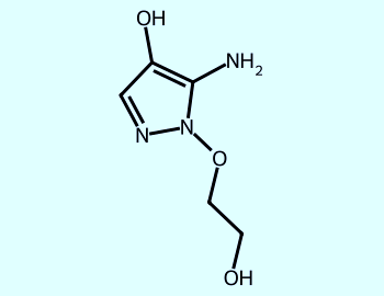 Nc1c(O)cnn1OCCO